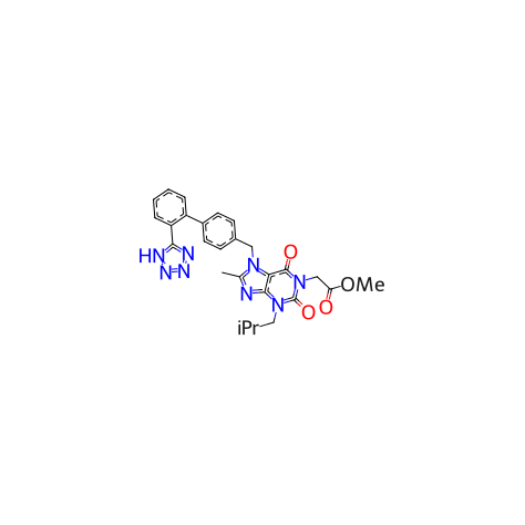 COC(=O)Cn1c(=O)c2c(nc(C)n2Cc2ccc(-c3ccccc3-c3nnn[nH]3)cc2)n(CC(C)C)c1=O